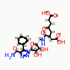 NC(=O)c1nnn([C@@H]2O[C@H](CNC(=O)[C@H](CC(=O)O)CC(=O)CCC(=O)O)[C@@H](O)[C@H]2O)c1-c1ccccc1